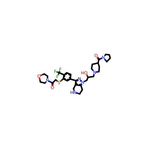 O=C(CSc1cc(-c2nn(CC(O)CN3CCC(C(=O)N4CCCC4)CC3)c3c2CNCC3)ccc1C(F)(F)F)N1CCOCC1